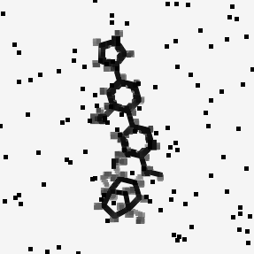 CN(c1ncc(-c2ccc(-n3ccnc3)cc2O)nn1)[C@@H]1C[C@@]2(C)CC[C@](C)(C2)[C@@H]1F